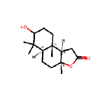 CC1(C)C(O)CC[C@]2(C)[C@H]3CC(=O)O[C@]3(C)CC[C@@H]12